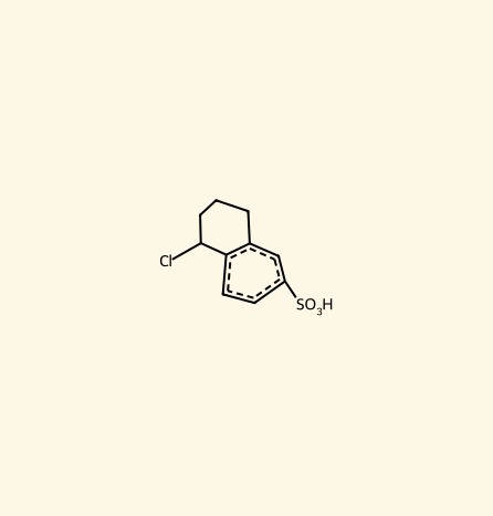 O=S(=O)(O)c1ccc2c(c1)CCCC2Cl